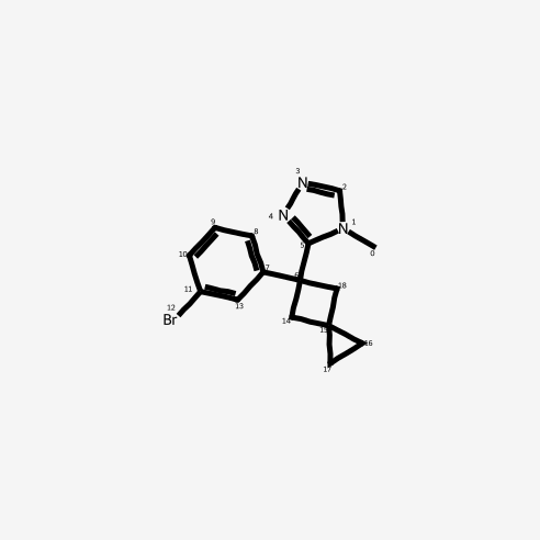 Cn1cnnc1C1(c2cccc(Br)c2)CC2(CC2)C1